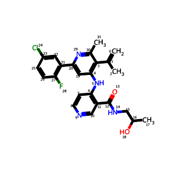 C=C(C)c1c(Nc2ccncc2C(=O)NCC(C)O)cc(-c2cc(Cl)ccc2F)nc1C